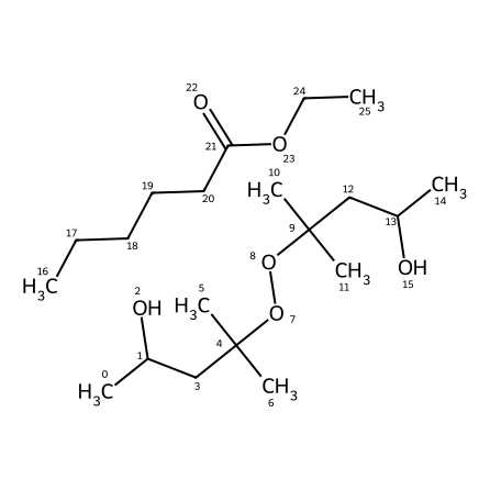 CC(O)CC(C)(C)OOC(C)(C)CC(C)O.CCCCCC(=O)OCC